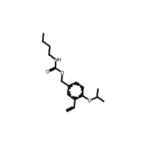 C=Cc1cc(COC(=O)NCCCC)ccc1OC(C)C